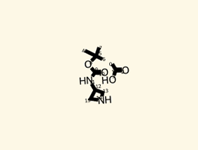 CC(=O)O.CC(C)(C)OC(=O)NC1CNC1